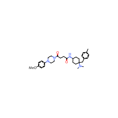 COc1ccc(N2CCN(C(=O)CCC(=O)NC3CCC(Cc4ccc(C)cc4)(N(C)C)CC3)CC2)cc1